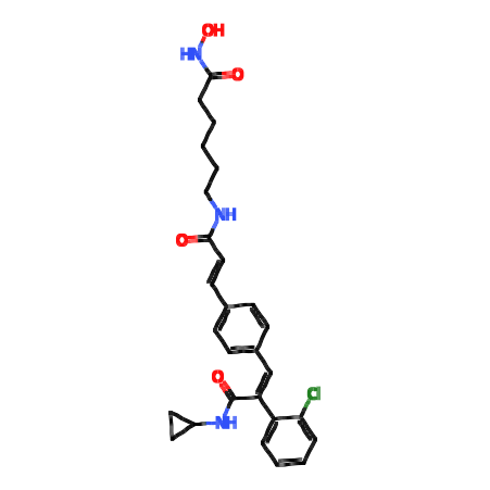 O=C(C=Cc1ccc(C=C(C(=O)NC2CC2)c2ccccc2Cl)cc1)NCCCCCC(=O)NO